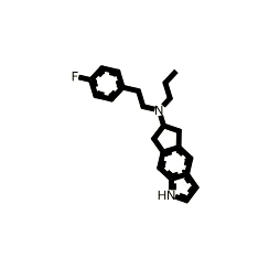 CCCN(CCc1ccc(F)cc1)C1Cc2cc3cc[nH]c3cc2C1